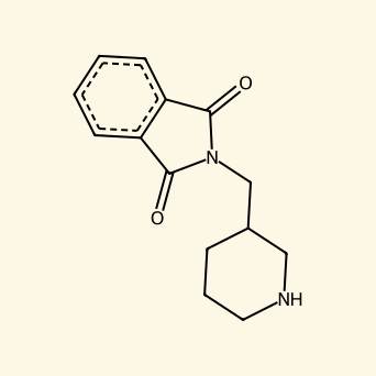 O=C1c2ccccc2C(=O)N1CC1CCCNC1